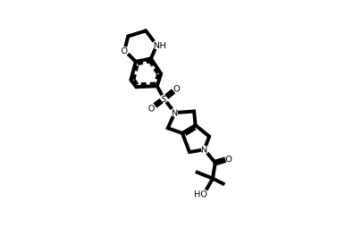 CC(C)(O)C(=O)N1CC2=C(C1)CN(S(=O)(=O)c1ccc3c(c1)NCCO3)C2